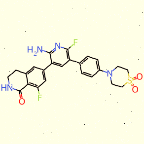 Nc1nc(F)c(-c2ccc(N3CCS(=O)(=O)CC3)cc2)cc1-c1cc(F)c2c(c1)CCNC2=O